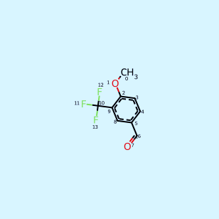 COc1ccc([C]=O)cc1C(F)(F)F